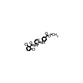 CCOC(=O)c1ccc(Nc2nccc(NC(=O)c3c(Cl)cccc3Cl)n2)cc1